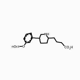 CCCCCCCCOc1cccc(C2CCC(CCCC(=O)O)NC2)c1